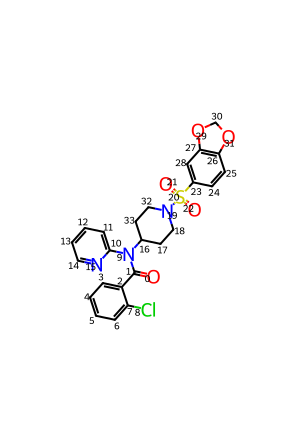 O=C(c1ccccc1Cl)N(c1ccccn1)C1CCN(S(=O)(=O)c2ccc3c(c2)OCO3)CC1